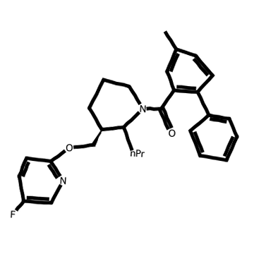 CCCC1[C@@H](COc2ccc(F)cn2)CCCN1C(=O)c1cc(C)ccc1-c1ccccc1